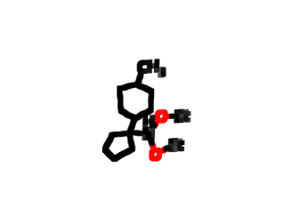 CCO[SiH](OCC)C1(C2CCC(C)CC2)CCCC1